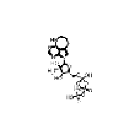 C[C@@]1(O)[C@H](O)[C@@H](COP(=O)(O)OP(=O)(O)OP(=O)(O)O)O[C@H]1n1cc2c3c(ncnc31)NCCC2